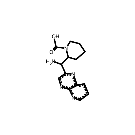 NC(c1cnc2ncccc2n1)C1CCCCN1C(=O)O